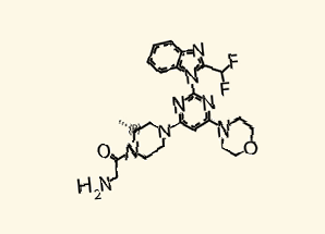 C[C@@H]1CN(c2cc(N3CCOCC3)nc(-n3c(C(F)F)nc4ccccc43)n2)CCN1C(=O)CN